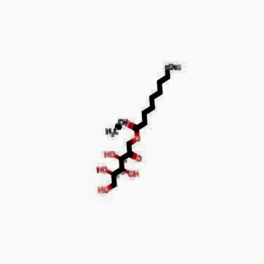 C=C.CCCCCCCCCCCCCCCCCC(=O)OCC(=O)[C@H](O)[C@@H](O)[C@H](O)CO